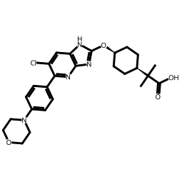 CC(C)(C(=O)O)[C@H]1CC[C@@H](Oc2nc3nc(-c4ccc(N5CCOCC5)cc4)c(Cl)cc3[nH]2)CC1